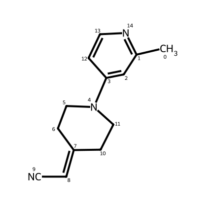 Cc1cc(N2CCC(=CC#N)CC2)ccn1